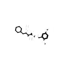 COc1ccc(OC)c(C[Cl+]NC(=O)C(O)[C@H](N)CC2CCCCC2)c1